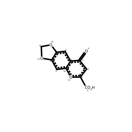 O=C(O)c1cc(=O)c2cc3c(cc2o1)OCO3